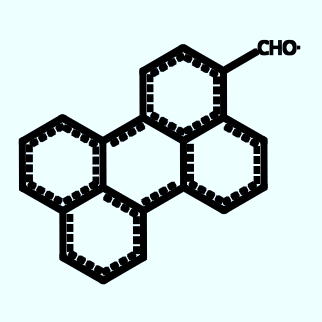 O=[C]c1ccc2c3cccc4cccc(c5cccc1c52)c43